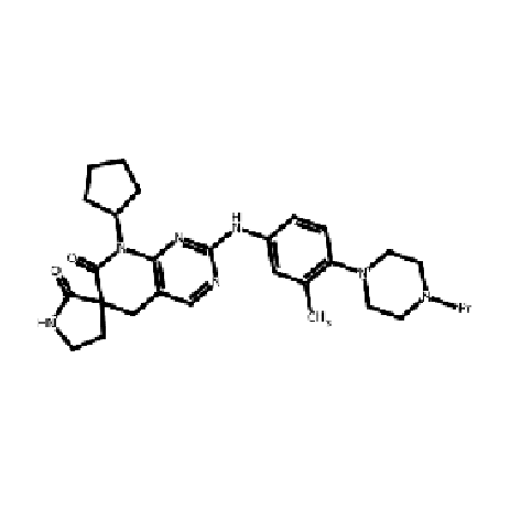 Cc1cc(Nc2ncc3c(n2)N(C2CCCC2)C(=O)C2(CCNC2=O)C3)ccc1N1CCN(C(C)C)CC1